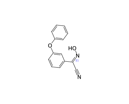 N#C/C(=N/O)c1cccc(Oc2ccccc2)c1